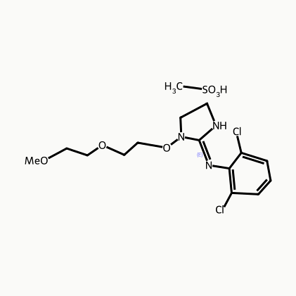 COCCOCCON1CCN/C1=N\c1c(Cl)cccc1Cl.CS(=O)(=O)O